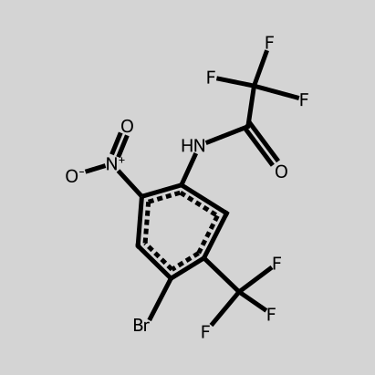 O=C(Nc1cc(C(F)(F)F)c(Br)cc1[N+](=O)[O-])C(F)(F)F